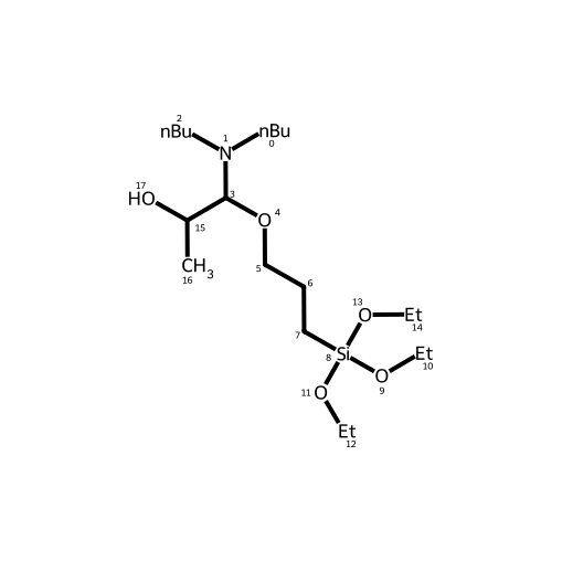 CCCCN(CCCC)C(OCCC[Si](OCC)(OCC)OCC)C(C)O